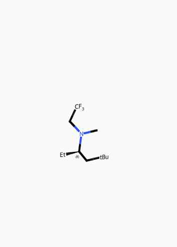 CC[C@H](CC(C)(C)C)N(C)CC(F)(F)F